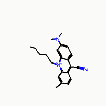 CCCCC[n+]1c2cc(C)ccc2c(C#N)c2ccc(N(C)C)cc21